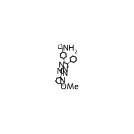 COc1cccc(-c2nc3nc(-c4ccc(C5(N)CCC5)cc4)c(-c4ccccc4)cn3n2)n1